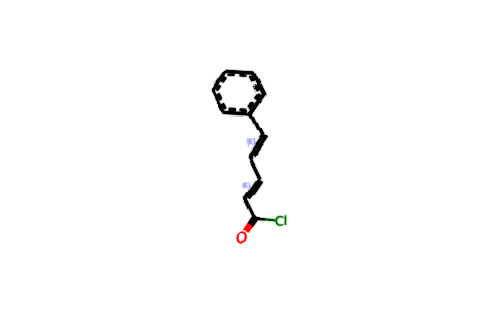 O=C(Cl)/C=C/C=C/c1ccccc1